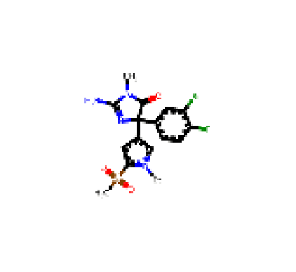 CCn1cc(C2(c3ccc(F)c(Br)c3)N=C(N)N(C)C2=O)cc1S(C)(=O)=O